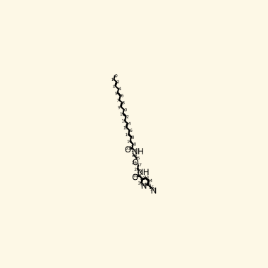 CCC=CCC=CCC=CCC=CCC=CCC=CCCC(=O)NCCOCCNC(=O)c1ccc(C#N)nc1